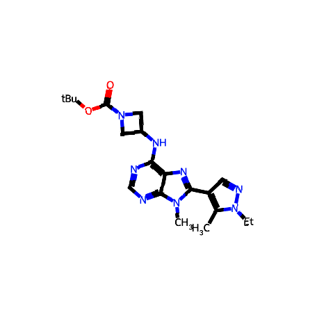 CCn1ncc(-c2nc3c(NC4CN(C(=O)OC(C)(C)C)C4)ncnc3n2C)c1C